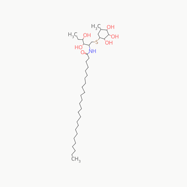 CCCCCCCCCCCCCCCCCCCCCCCCCC(=O)NC(CSC1CC(C)C(O)C(O)C1O)C(O)C(O)CC